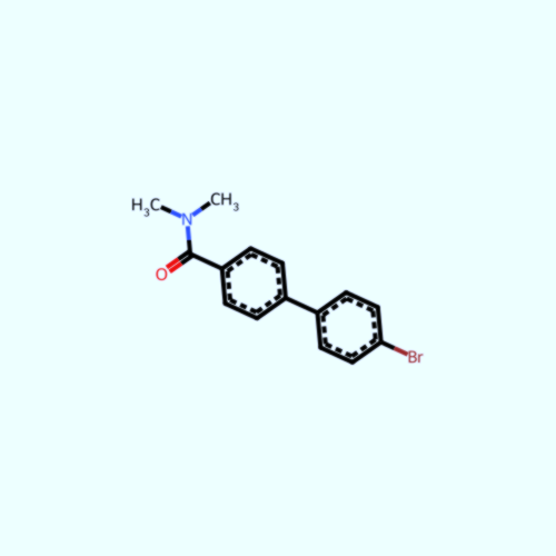 CN(C)C(=O)c1ccc(-c2ccc(Br)cc2)cc1